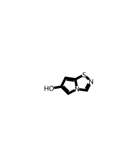 Oc1cc2sncn2c1